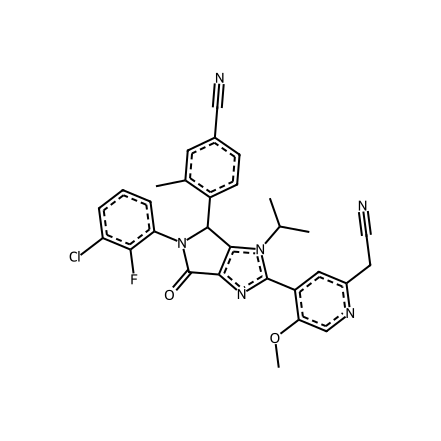 COc1cnc(CC#N)cc1-c1nc2c(n1C(C)C)C(c1ccc(C#N)cc1C)N(c1cccc(Cl)c1F)C2=O